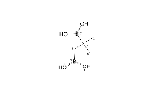 CC(C)(CB(O)O)B(O)O